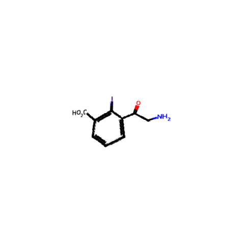 NCC(=O)c1cccc(C(=O)O)c1I